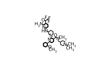 COc1ccccc1-c1ccc(C(=O)N(C)CC2CCN(C(C)C)CC2)c(N2CCCC(Nc3ccc(C(=O)C(F)(F)F)c(N)n3)C2)n1